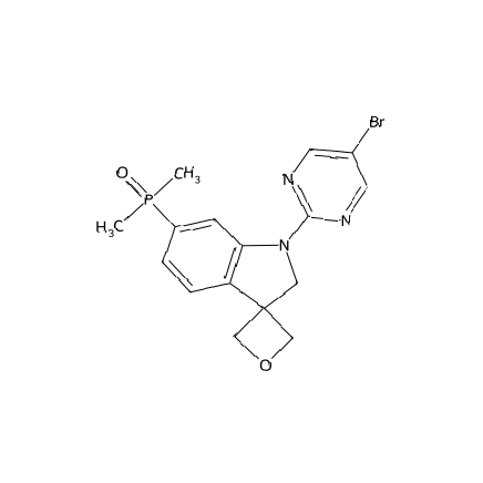 CP(C)(=O)c1ccc2c(c1)N(c1ncc(Br)cn1)CC21COC1